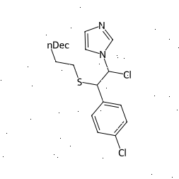 CCCCCCCCCCCCSC(c1ccc(Cl)cc1)C(Cl)n1ccnc1